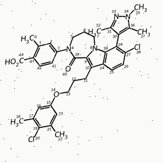 Cc1cc(N2CCCn3c(c(CCCOc4cc(C)c(Cl)c(C)c4)c4ccc(Cl)c(-c5c(C)nn(C)c5C)c43)C2=O)ccc1C(=O)O